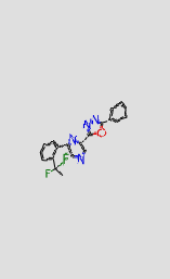 CC(F)(F)c1ccccc1-c1cncc(-c2nnc(-c3ccccc3)o2)n1